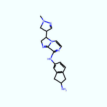 CN1CC(C2CN=C3C(Nc4ccc5c(c4)CC(N)C5)=NC=CN32)C=N1